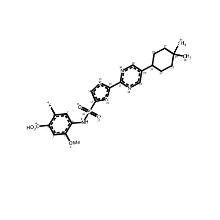 COc1cc(C(=O)O)c(F)cc1NS(=O)(=O)c1csc(-c2ncc(C3CCC(C)(C)CC3)cn2)n1